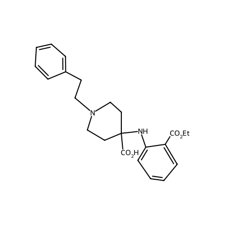 CCOC(=O)c1ccccc1NC1(C(=O)O)CCN(CCc2ccccc2)CC1